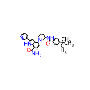 CC(C)(C)c1ccc(C(=O)N[C@@H]2CCCN(c3ccc(C(N)=O)c4[nH]c(-c5cccnc5)cc34)C2)cc1